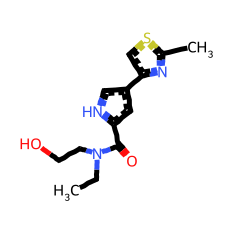 CCN(CCO)C(=O)c1cc(-c2csc(C)n2)c[nH]1